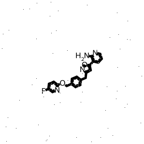 Nc1ncccc1-c1cc(Cc2ccc(COc3ccc(F)cn3)cc2)no1